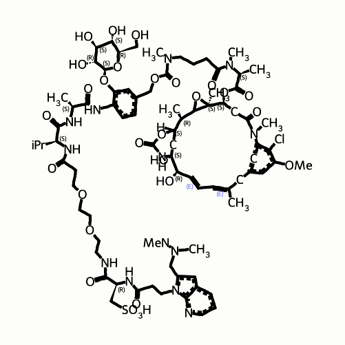 CNN(C)Cc1cc2cccnc2n1CCC(=O)N[C@@H](CS(=O)(=O)O)C(=O)NCCOCCOCCC(=O)N[C@H](C(=O)N[C@@H](C)C(=O)Nc1ccc(COC(=O)N(C)CCCC(=O)N(C)[C@@H](C)C(=O)O[C@H]2CC(=O)N(C)c3cc(cc(OC)c3Cl)C/C(C)=C/C=C/[C@@H](O)[C@@]3(O)C[C@H](OC(=O)N3)[C@@H](C)C3O[C@]32C)cc1O[C@@H]1O[C@H](CO)[C@@H](O)[C@H](O)[C@H]1O)C(C)C